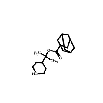 CC(C)(OC(=O)C12CC3CC(CC(C3)C1)C2)C1CCNCC1